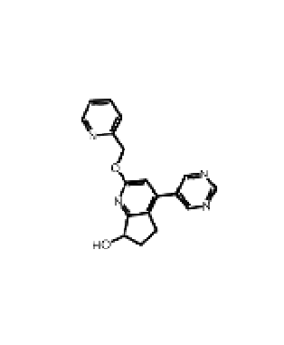 OC1CCc2c(-c3cncnc3)cc(OCc3ccccn3)nc21